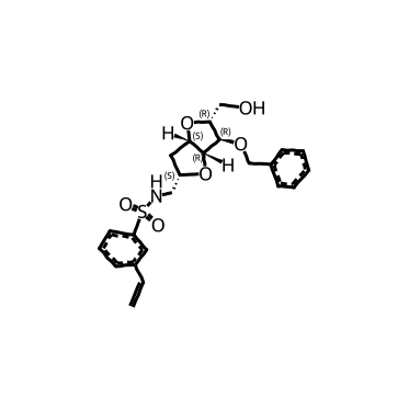 C=Cc1cccc(S(=O)(=O)NC[C@@H]2C[C@@H]3O[C@H](CO)[C@@H](OCc4ccccc4)[C@@H]3O2)c1